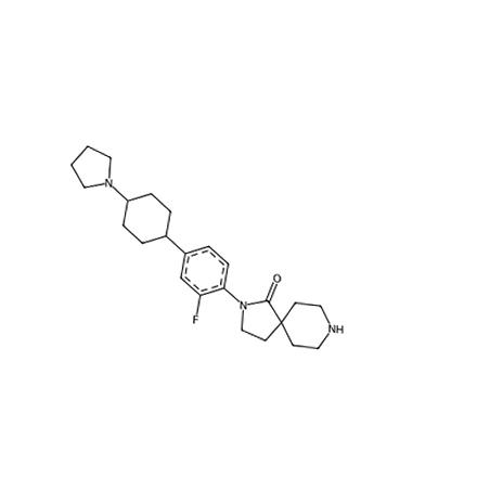 O=C1N(c2ccc(C3CCC(N4CCCC4)CC3)cc2F)CCC12CCNCC2